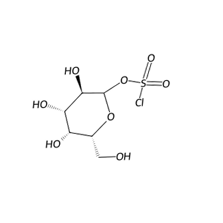 O=S(=O)(Cl)OC1O[C@H](CO)[C@H](O)[C@H](O)[C@H]1O